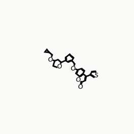 O=c1cc(-c2ccsc2)c2ccc(OCc3cccc(C4CC(OCC5CC5)CCO4)c3)cc2o1